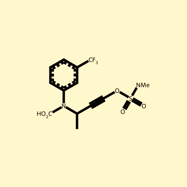 CNS(=O)(=O)OC#CC(C)N(C(=O)O)c1cccc(C(F)(F)F)c1